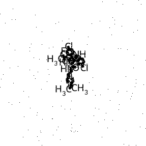 CC(C)N1CCN(CCNC(=O)[C@@H]2N[C@H](CC(C)(C)C)[C@]3(C(=O)Nc4cc(Cl)c(F)cc43)[C@H]2c2cccc(Cl)c2)CC1